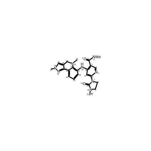 CNC(=O)c1cnc(N2CCN(C(C)C)C2=O)cc1Nc1cccc2c1N(C)Cc1cn(C)nc1-2